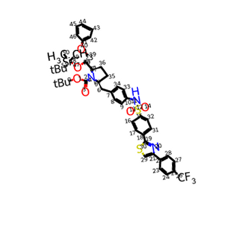 CC(C)(C)OC(=O)N1[C@H](Cc2ccc(NS(=O)(=O)c3ccc(-c4nc(-c5ccc(C(F)(F)F)cc5)cs4)cc3)cc2)CC[C@@H]1[C@@H](COc1ccccc1)O[Si](C)(C)C(C)(C)C